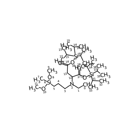 CCN(CCC[Si](C)(OC)OC)C(CC(=O)O[Si](C(C)C)(C(C)C)C(C)C)C(=O)O[Si](C(C)C)(C(C)C)C(C)C